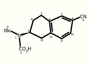 CC(C)(C)N(C(=O)O)[C@H]1CCc2cc(C#N)ccc2C1